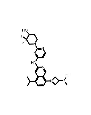 CC(C)c1ccc(N2CC([S+](C)[O-])C2)c2cnc(Nc3ccnc(N4CC[C@H](O)[C@](C)(F)C4)n3)cc12